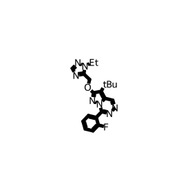 CCn1ncnc1COc1nn2c(-c3ccccc3F)nncc2c1C(C)(C)C